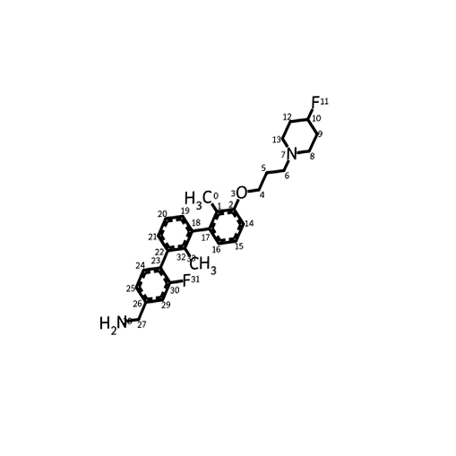 Cc1c(OCCCN2CCC(F)CC2)cccc1-c1cccc(-c2ccc(CN)cc2F)c1C